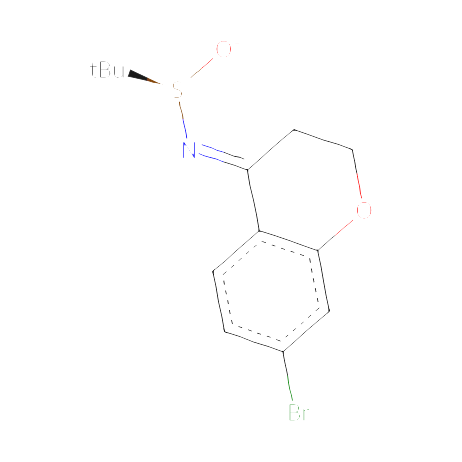 CC(C)(C)[S@@+]([O-])/N=C1\CCOc2cc(Br)ccc21